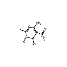 CC1=NC(N)=C([N+](=O)[O-])C(Cl)N1C